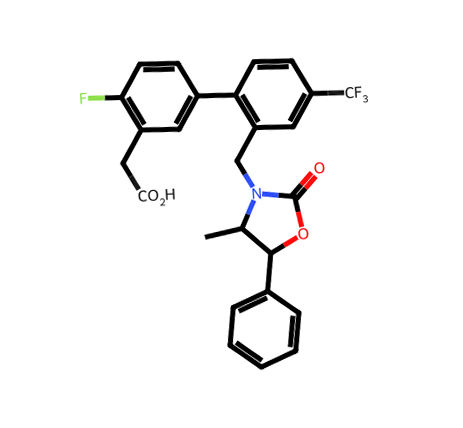 CC1C(c2ccccc2)OC(=O)N1Cc1cc(C(F)(F)F)ccc1-c1ccc(F)c(CC(=O)O)c1